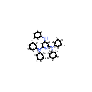 c1ccc(Nc2cc(N(c3ccccc3)c3ccccc3)nc(N(c3ccccc3)c3ccccc3)c2)cc1